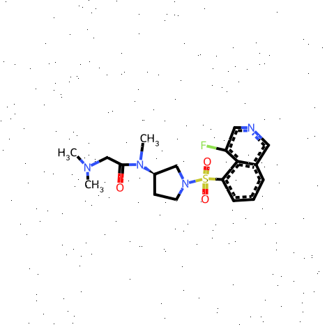 CN(C)CC(=O)N(C)[C@@H]1CCN(S(=O)(=O)c2cccc3cncc(F)c23)C1